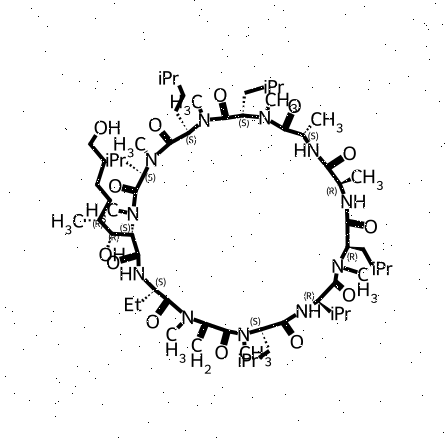 C=C1C(=O)N(C)[C@@H](CC(C)C)C(=O)N[C@H](C(C)C)C(=O)N(C)[C@H](CC(C)C)C(=O)N[C@H](C)C(=O)N[C@@H](C)C(=O)N(C)[C@@H](CC(C)C)C(=O)N(C)[C@@H](CCC(C)C)C(=O)N(C)[C@@H](C(C)C)C(=O)N(C)[C@@H]([C@H](O)[C@H](C)CCCCO)C(=O)N[C@@H](CC)C(=O)N1C